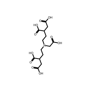 O=C(O)CC(CCN(CCC(CC(=O)O)C(=O)O)CC(=O)O)C(=O)O